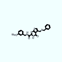 COc1cccc(CNC(=O)c2nc3scc(CSCc4ccccc4)c3c(=O)[nH]2)c1